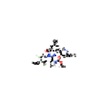 COc1c(F)cc(-n2c(C3CCCN3C(=O)OC(C)(C)C)nc3c(-c4ccc(C=O)nc4)cc(C#N)cc3c2=O)cc1F